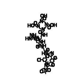 COc1cc2c(cc1-c1cncc(NC(=O)CCCNC(=O)[C@@H](CCCNC(=N)N)NC(=O)CCNC(=O)CN3CCN(CC(=O)O)CCN(CC(=O)O)CCN(CC(=O)O)CC3)c1)-c1c(c(C(=O)N3CCOCC3(C)C)nn1-c1cc(Cl)cc(Cl)c1)CO2